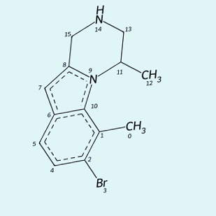 Cc1c(Br)ccc2cc3n(c12)C(C)CNC3